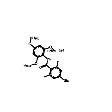 CCCCCCOc1cc(OCCCCCC)c(PC(=O)c2c(C)cc(C(C)(C)C)cc2C)c(OCCCCCC)c1.[LiH]